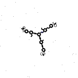 CCc1cc(-c2ccc(SC(C)=O)cc2)ccc1C#Cc1cc(C#Cc2ccc(C#Cc3ccc(SC(C)=O)cc3)cc2C)cc(/C=C/c2ccc(CCc3ccc(SC(C)=O)cc3)cc2CC)c1